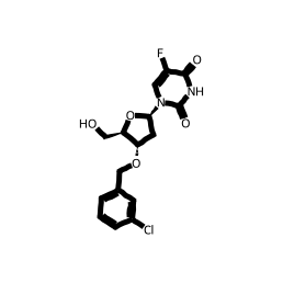 O=c1[nH]c(=O)n([C@H]2C[C@H](OCc3cccc(Cl)c3)[C@@H](CO)O2)cc1F